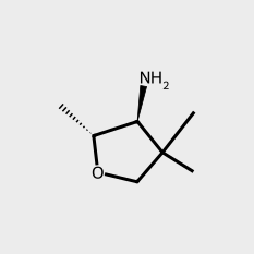 C[C@H]1OCC(C)(C)[C@@H]1N